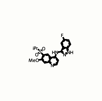 COc1cc2nccc(Nc3n[nH]c4ccc(F)cc34)c2cc1S(=O)(=O)C(C)C